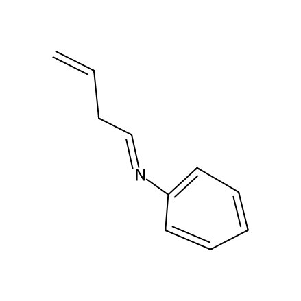 C=CCC=Nc1ccccc1